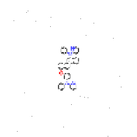 c1ccc(N(c2ccc3c(c2)Oc2cccc4c2c-3cc2c3ccccc3c(N(c3ccccc3)c3ccccn3)cc42)c2ccccn2)cc1